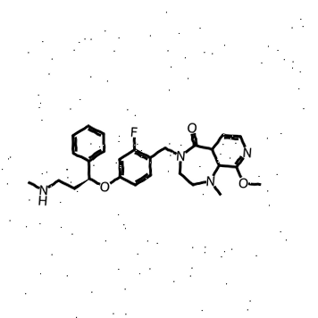 CNCC[C@H](Oc1ccc(CN2CCN(C)C3C(OC)=NC=CC3C2=O)c(F)c1)c1ccccc1